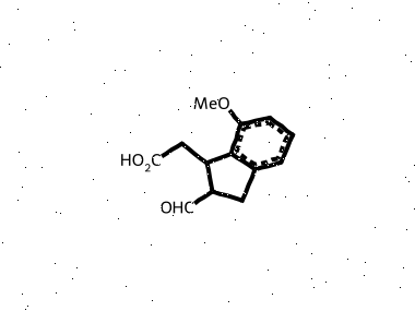 COc1cccc2c1C(CC(=O)O)C(C=O)C2